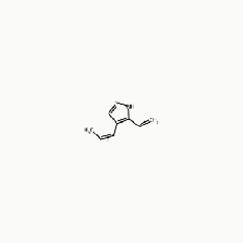 C=Cc1[nH]ncc1/C=C\C